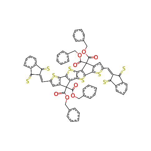 O=C(OCc1ccccc1)C1(C(=O)OCc2ccccc2)c2cc(C=C3C(=S)c4ccccc4C3=S)sc2-c2sc3c4c(sc3c21)-c1sc(C=C2C(=S)c3ccccc3C2=S)cc1C4(C(=O)OCc1ccccc1)C(=O)OCc1ccccc1